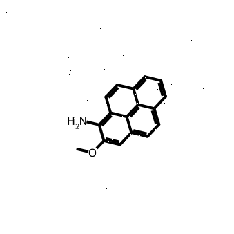 COc1cc2ccc3cccc4ccc(c1N)c2c34